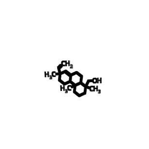 C=CC1(C)C=C2CCC3C(C)(CO)CCCC3(C)C2CC1